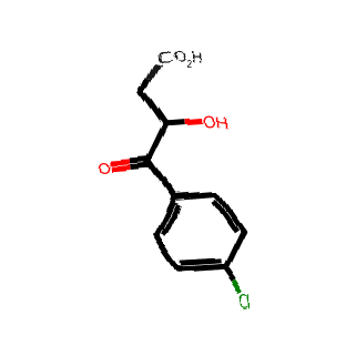 O=C(O)CC(O)C(=O)c1ccc(Cl)cc1